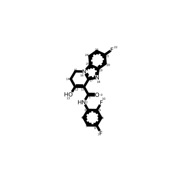 O=C(Nc1ccc(F)cc1F)C1=C(O)CCn2c1nc1cc(F)ccc12